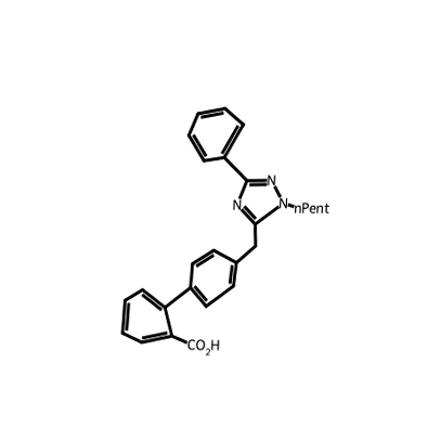 CCCCCn1nc(-c2ccccc2)nc1Cc1ccc(-c2ccccc2C(=O)O)cc1